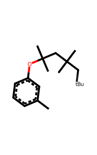 Cc1cccc(OC(C)(C)CC(C)(C)CC(C)(C)C)c1